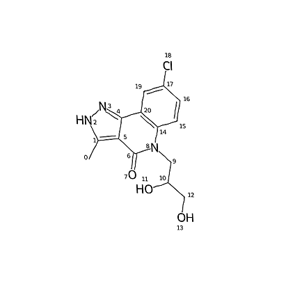 Cc1[nH]nc2c1c(=O)n(CC(O)CO)c1ccc(Cl)cc21